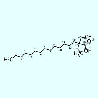 CCCCCCCCCCCCCCC(CC)(CC)C(=O)O